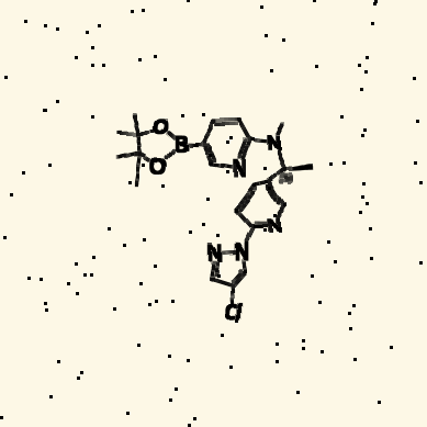 C[C@@H](c1ccc(-n2cc(Cl)cn2)nc1)N(C)c1ccc(B2OC(C)(C)C(C)(C)O2)cn1